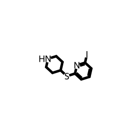 Ic1cccc(SC2CCNCC2)n1